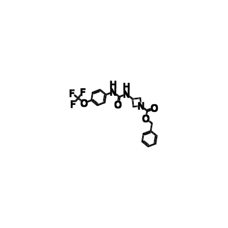 O=C(Nc1ccc(OC(F)(F)F)cc1)NC1CN(C(=O)OCc2ccccc2)C1